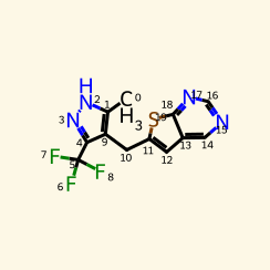 Cc1[nH]nc(C(F)(F)F)c1Cc1cc2cncnc2s1